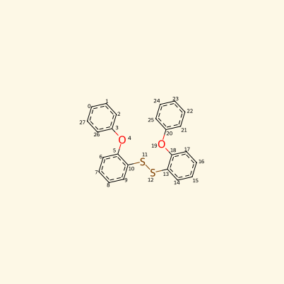 c1ccc(Oc2ccccc2SSc2ccccc2Oc2ccccc2)cc1